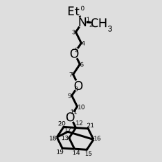 CCN(C)CCOCCOCCOC12CC3CC(CC(C3)C1)C2